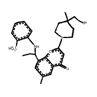 Cc1cc(C(C)Nc2ccccc2C(=O)O)c2oc(N3CCC(C)(CC(C)C)CC3)cc(=O)c2c1